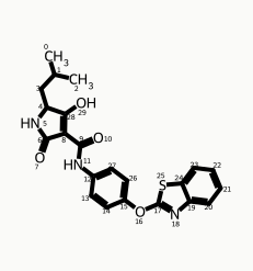 CC(C)CC1NC(=O)C(C(=O)Nc2ccc(Oc3nc4ccccc4s3)cc2)=C1O